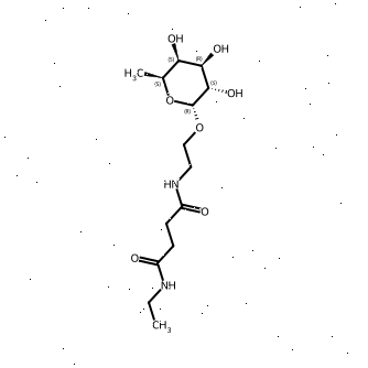 CCNC(=O)CCC(=O)NCCO[C@@H]1O[C@@H](C)[C@@H](O)[C@@H](O)[C@@H]1O